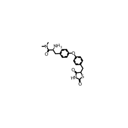 CN(C)C(=O)[C@@H](N)Cc1ccc(Oc2ccc(CC3SC(=O)NC3=O)cc2)cc1